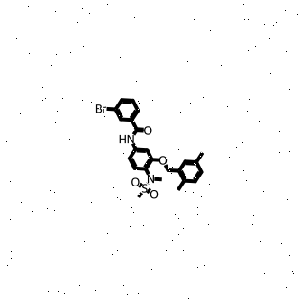 Cc1ccc(C)c(COc2cc(NC(=O)c3cccc(Br)c3)ccc2N(C)S(C)(=O)=O)c1